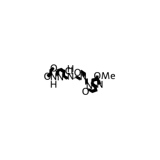 COc1cnc2ccc(=O)n(CCN3CCO[C@@H](CNCc4nc5c(cc4Cl)OCC(=O)N5)C3)c2c1